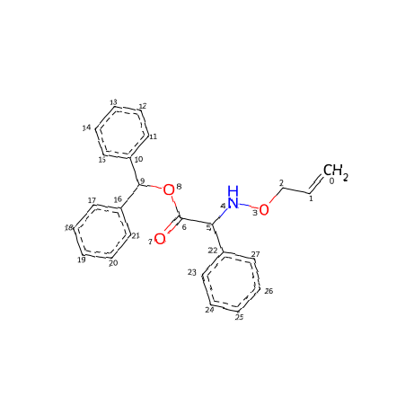 C=CCONC(C(=O)OC(c1ccccc1)c1ccccc1)c1ccccc1